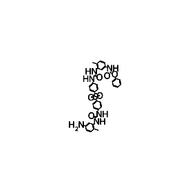 Cc1ccc(N)cc1NC(=O)Nc1ccc(S(=O)(=O)c2ccc(NC(=O)Nc3cc(NC(=O)Oc4ccccc4)ccc3C)cc2)cc1